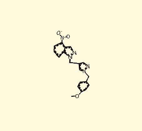 COc1ccc(Cn2cc(Cn3ncc4c([N+](=O)[O-])cccc43)cn2)cc1